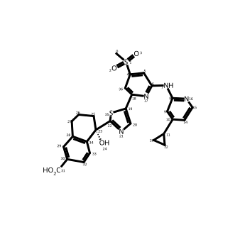 CS(=O)(=O)c1cc(Nc2cc(C3CC3)ccn2)nc(-c2cnc([C@]3(O)CCCc4cc(C(=O)O)ccc43)s2)c1